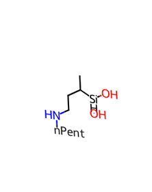 CCCCCNCCC(C)[SiH](O)O